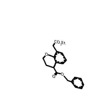 CCOC(=O)Cc1cccc2c1OCCC2C(=O)OCc1ccccc1